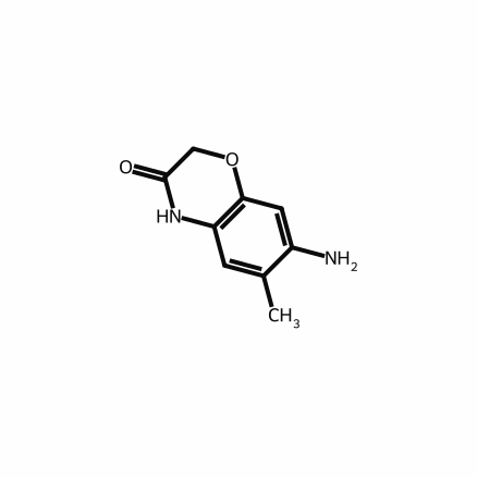 Cc1cc2c(cc1N)OCC(=O)N2